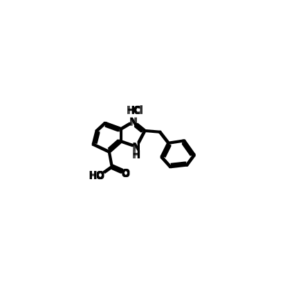 Cl.O=C(O)c1cccc2nc(Cc3ccccc3)[nH]c12